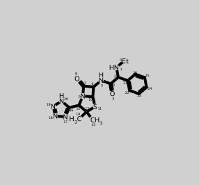 CCNC(C(=O)NC1C(=O)N2C1SC(C)(C)C2c1nnn[nH]1)c1ccccc1